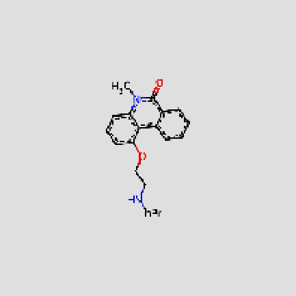 CCCNCCOc1cccc2c1c1ccccc1c(=O)n2C